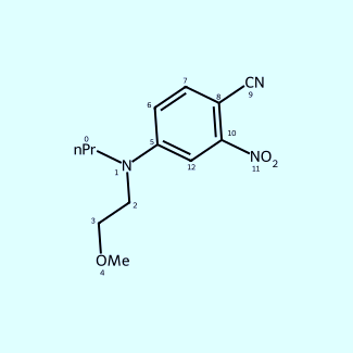 CCCN(CCOC)c1ccc(C#N)c([N+](=O)[O-])c1